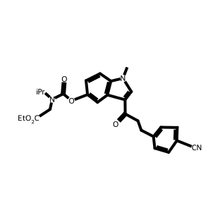 CCOC(=O)CN(C(=O)Oc1ccc2c(c1)c(C(=O)CCc1ccc(C#N)cc1)cn2C)C(C)C